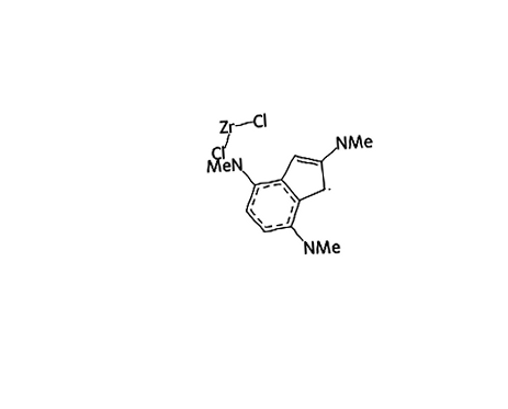 CNC1=Cc2c(NC)ccc(NC)c2[CH]1.[Cl][Zr][Cl]